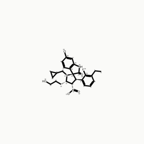 CCc1cccc([C@H]2[C@H]([N+](=O)[O-])[C@H](CCCO)N(CC3CC3)[C@@]23C(=O)Nc2cc(Cl)ccc23)c1F